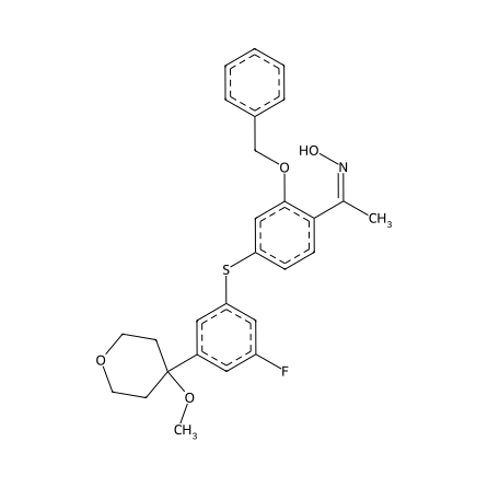 COC1(c2cc(F)cc(Sc3ccc(/C(C)=N\O)c(OCc4ccccc4)c3)c2)CCOCC1